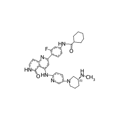 CN[C@H]1CCCN(c2ccc(Nc3cc(-c4ccc(NC(=O)C5CCCCC5)cc4F)nc4cc[nH]c(=O)c34)nc2)C1